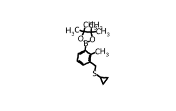 Cc1c(CSC2CC2)cccc1B1OC(C)(C)C(C)(C)O1